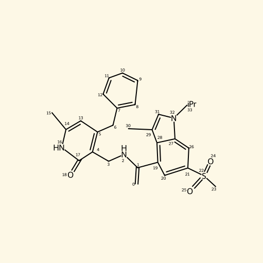 C=C(NCc1c(Cc2ccccc2)cc(C)[nH]c1=O)c1cc(S(C)(=O)=O)cc2c1c(C)cn2C(C)C